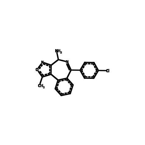 Cc1onc2c1-c1ccccc1C(c1ccc(Cl)cc1)=NC2N